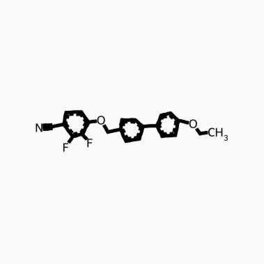 CCOc1ccc(-c2ccc(COc3ccc(C#N)c(F)c3F)cc2)cc1